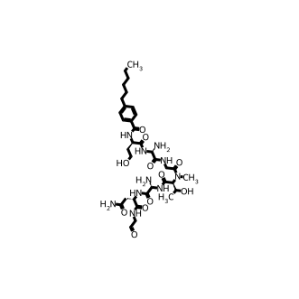 CCCCCCc1ccc(C(=O)N[C@H](CCO)C(=O)N[C@H](N)C(=O)NCC(=O)N(C)[C@H](C(=O)N[C@@H](N)C(=O)N[C@@H](CC(N)=O)C(=O)NCC=O)C(C)O)cc1